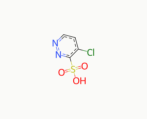 O=S(=O)(O)c1nnccc1Cl